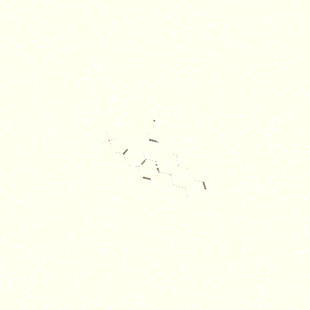 CCC(=O)OC(C)CC(c1ccc(OC(=O)OC(C)(C)CC)c(OC(=O)OC(C)(C)CC)c1)[C@H](N)C(=O)O